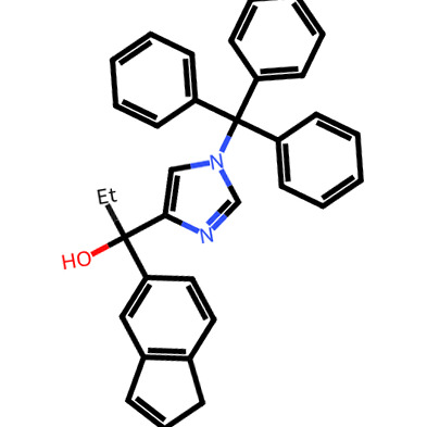 CCC(O)(c1ccc2c(c1)C=CC2)c1cn(C(c2ccccc2)(c2ccccc2)c2ccccc2)cn1